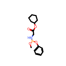 COP(NCC(=O)OC1CCCCC1)Oc1ccccc1